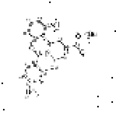 CC(C)(C)OC(=O)N1CCN(C(=O)c2ccc([N+](=O)[O-])cc2F)C(c2ccccc2Cl)C1